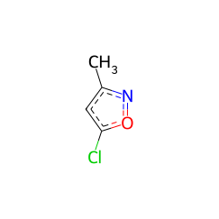 Cc1cc(Cl)on1